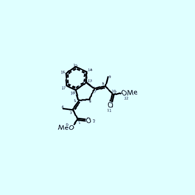 COC(=O)/C(C)=C1\C/C(=C(/C)C(=O)OC)c2ccccc21